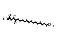 CCCCCCCCCCCCCCCC(=O)C(=O)CC(=O)O